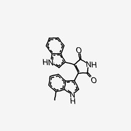 Cc1cccc2c(C3=C(c4c[nH]c5ccccc45)C(=O)NC3=O)c[nH]c12